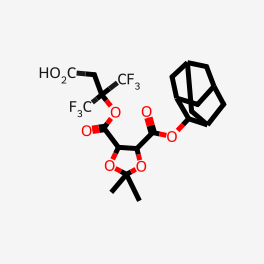 CC1(C)OC(C(=O)OC2C3CC4CC(C3)CC2C4)C(C(=O)OC(CC(=O)O)(C(F)(F)F)C(F)(F)F)O1